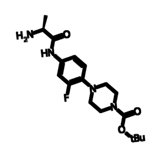 C[C@H](N)C(=O)Nc1ccc(N2CCN(C(=O)OC(C)(C)C)CC2)c(F)c1